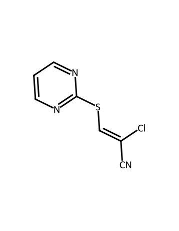 N#CC(Cl)=CSc1ncccn1